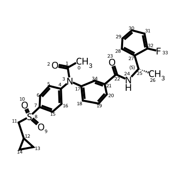 CC(=O)N(c1ccc(S(=O)(=O)CC2CC2)cc1)c1cccc(C(=O)N[C@@H](C)c2ccccc2F)c1